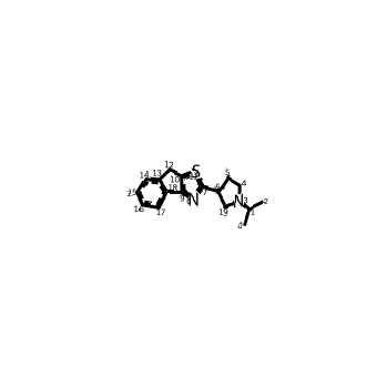 CC(C)N1CCC(c2nc3c(s2)Cc2ccccc2-3)C1